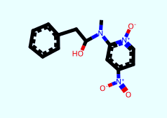 CN(c1cc([N+](=O)[O-])cc[n+]1[O-])C(O)Cc1ccccc1